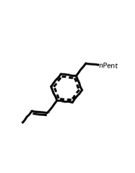 C/C=[C]/c1ccc(CCCCCC)cc1